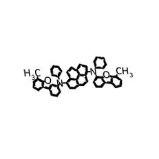 Cc1cccc2c1oc1c(N(c3ccccc3)c3ccc4ccc5c(N(c6ccccc6)c6cccc7c6oc6c(C)cccc67)ccc6ccc3c4c65)cccc12